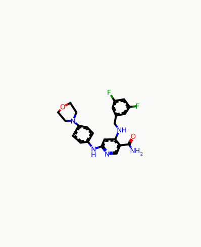 NC(=O)c1cnc(Nc2ccc(N3CCOCC3)cc2)cc1NCc1cc(F)cc(F)c1